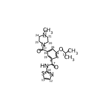 CC(C)Oc1cc(C(=O)Nc2nccs2)cc(C(=O)N2CCN(C)CC2)c1